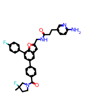 CC1(F)CCN(C(=O)c2ccc(-c3cc(-c4ccc(F)cc4)c4oc(CNC(=O)CCc5ccc(N)nc5)cc4c3)cc2)C1